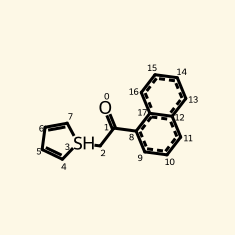 O=C(C[SH]1C=CC=C1)c1cccc2ccccc12